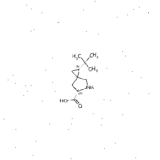 CC(C)(C)[C@H]1CC12CN[C@H](C(=O)O)C2